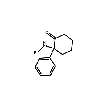 CCN[C@]1(c2ccccc2)CCCCC1=O